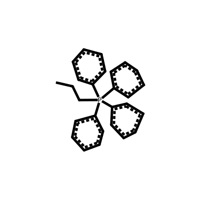 CCCP(c1ccccc1)(c1ccccc1)(c1ccccc1)c1ccccc1